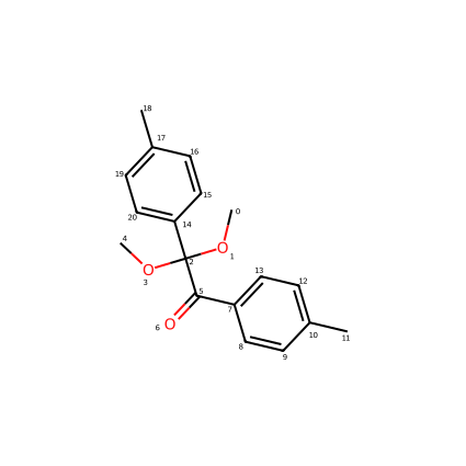 COC(OC)(C(=O)c1ccc(C)cc1)c1ccc(C)cc1